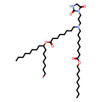 CCCCCCCCCOC(=O)CCCCCCCN(CCCCCCCC(=O)OC(CCCCCCCC)CCCCCCCI)CCCN1C(=O)CNC1=O